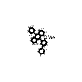 COc1ccc(C2=CCCC=C2)cc1-c1c2ccccc2c(-c2ccccc2)c2ccccc12